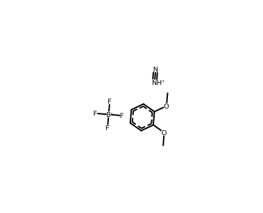 COc1ccccc1OC.F[B-](F)(F)F.N#[NH+]